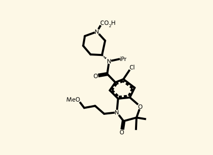 COCCCN1C(=O)C(C)(C)Oc2cc(Cl)c(C(=O)N(C(C)C)[C@@H]3CCCN(C(=O)O)C3)cc21